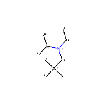 CCN(CC(C)(C)C)C(C)C